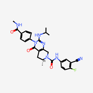 CNC(=O)c1ccc(-n2c(NC(C)C)nc3c(c2=O)C[C@@H](C)N(C(=O)Nc2ccc(F)c(C#N)c2)C3)cc1